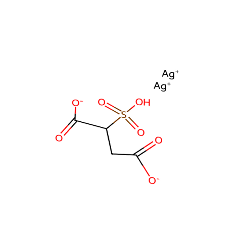 O=C([O-])CC(C(=O)[O-])S(=O)(=O)O.[Ag+].[Ag+]